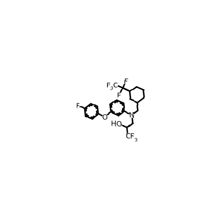 OC(CN(CC1CCCC(C(F)(F)C(F)(F)F)C1)c1cccc(Oc2ccc(F)cc2)c1)C(F)(F)F